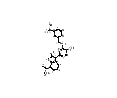 Cc1cnc(-c2c(C)nc3c(C(N)=O)cccn23)nc1NCc1cccc(B(O)O)c1